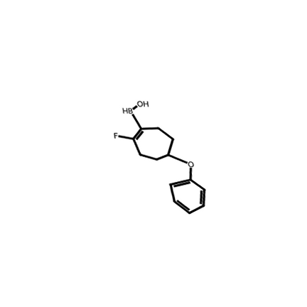 OBC1=C(F)CCC(Oc2ccccc2)CC1